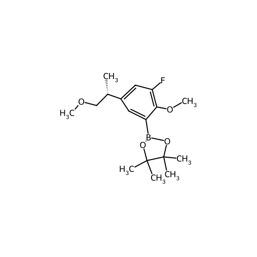 COC[C@H](C)c1cc(F)c(OC)c(B2OC(C)(C)C(C)(C)O2)c1